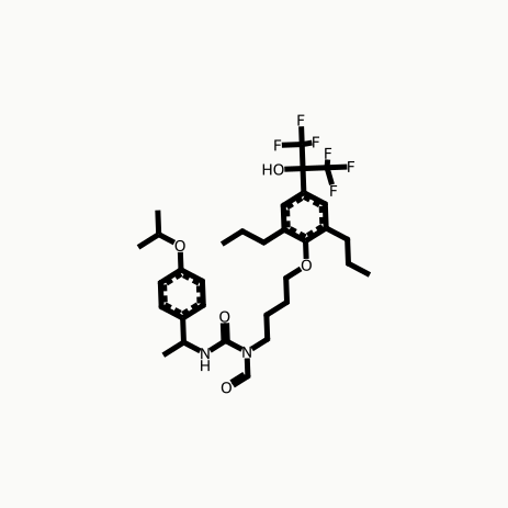 CCCc1cc(C(O)(C(F)(F)F)C(F)(F)F)cc(CCC)c1OCCCCN(C=O)C(=O)NC(C)c1ccc(OC(C)C)cc1